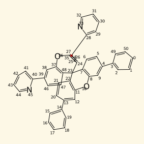 c1ccc(-c2ccc3c(c2)Oc2cc(-c4ccccc4)ccc2C32c3ccc(-c4ccccn4)cc3Oc3cc(-c4ccccn4)ccc32)cc1